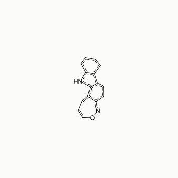 C1=CON=c2ccc3c([nH]c4ccccc43)c2=C1